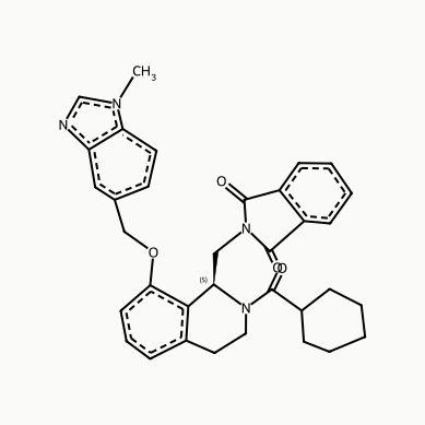 Cn1cnc2cc(COc3cccc4c3[C@@H](CN3C(=O)c5ccccc5C3=O)N(C(=O)C3CCCCC3)CC4)ccc21